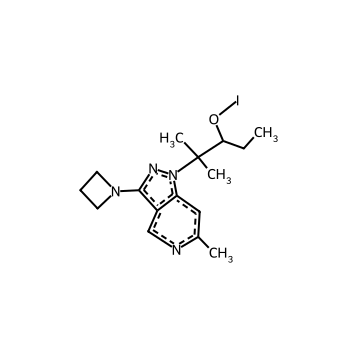 CCC(OI)C(C)(C)n1nc(N2CCC2)c2cnc(C)cc21